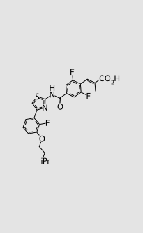 CC(=Cc1c(F)cc(C(=O)Nc2nc(-c3cccc(OCCC(C)C)c3F)cs2)cc1F)C(=O)O